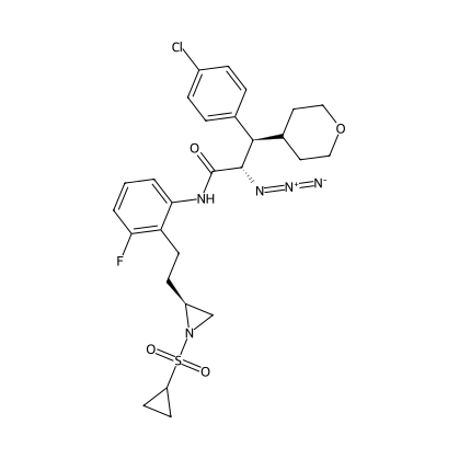 [N-]=[N+]=N[C@H](C(=O)Nc1cccc(F)c1CC[C@H]1CN1S(=O)(=O)C1CC1)[C@@H](c1ccc(Cl)cc1)C1CCOCC1